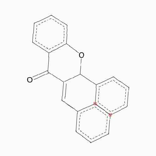 O=C1/C(=C/c2ccccc2)C(c2ccccc2)Oc2ccccc21